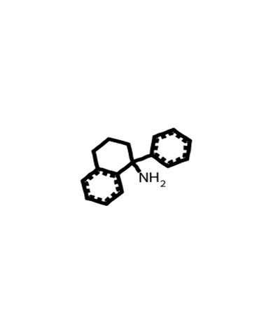 NC1(c2ccccc2)CCCc2ccccc21